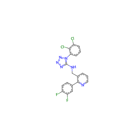 Fc1ccc(-c2ncccc2CNc2nnnn2-c2cccc(Cl)c2Cl)cc1F